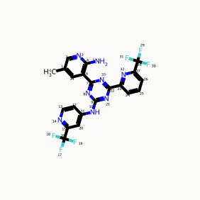 Cc1cnc(N)c(-c2nc(Nc3ccnc(C(F)(F)F)c3)nc(-c3cccc(C(F)(F)F)n3)n2)c1